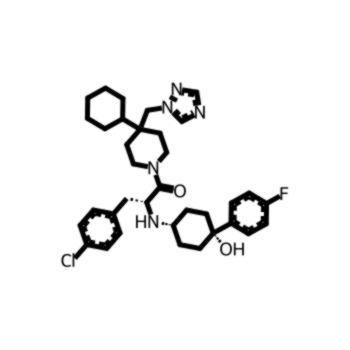 O=C([C@@H](Cc1ccc(Cl)cc1)N[C@H]1CC[C@](O)(c2ccc(F)cc2)CC1)N1CCC(Cn2cncn2)(C2CCCCC2)CC1